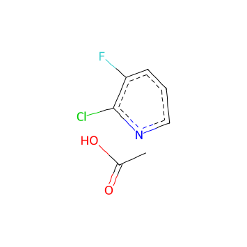 CC(=O)O.Fc1cccnc1Cl